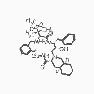 CC(C)(C)NC(=O)[C@@H]1C[C@@H]2CCCC[C@@H]2CN1C[C@@H](O)[C@H](Cc1ccccc1)NC(=O)[C@@H](NCc1ccccc1F)C(C)(C)S(C)(=O)=O